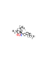 CCc1ccc2cc(C(=NO)c3ccc4c(c3)C(C)(C)CCC4(C)C)ccc2c1C(=O)O